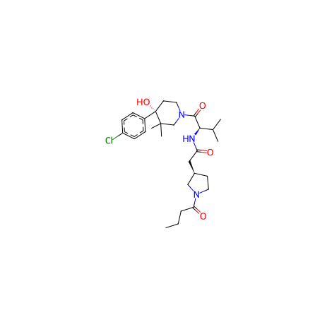 CCCC(=O)N1CC[C@H](CC(=O)N[C@@H](C(=O)N2CC[C@](O)(c3ccc(Cl)cc3)C(C)(C)C2)C(C)C)C1